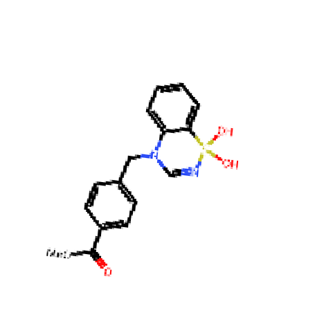 COC(=O)c1ccc(CN2C=NS(O)(O)c3ccccc32)cc1